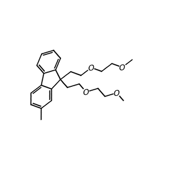 COCCOCCC1(CCOCCOC)c2ccccc2-c2ccc(C)cc21